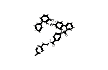 Cc1cnc(CCNC(=O)c2ccc(NC(=O)c3ccccc3-c3ccc(C(F)(F)F)cc3)cc2)cn1.O=C(O)c1c(-c2ccccc2)cccc1C(F)(F)F